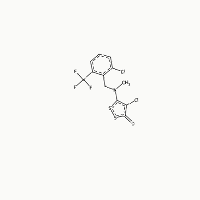 CN(Cc1c(Cl)cccc1C(F)(F)F)c1ssc(=O)c1Cl